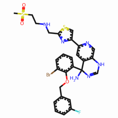 CS(=O)(=O)CCNCc1nc(-c2cc3c(cn2)NC=NC3(N)c2cccc(Br)c2OCc2cccc(F)c2)cs1